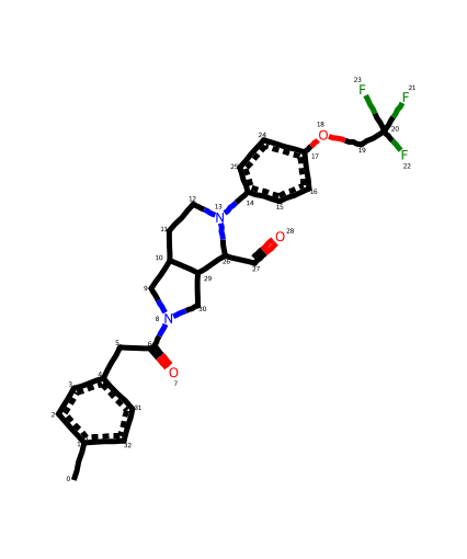 Cc1ccc(CC(=O)N2CC3CCN(c4ccc(OCC(F)(F)F)cc4)C(C=O)C3C2)cc1